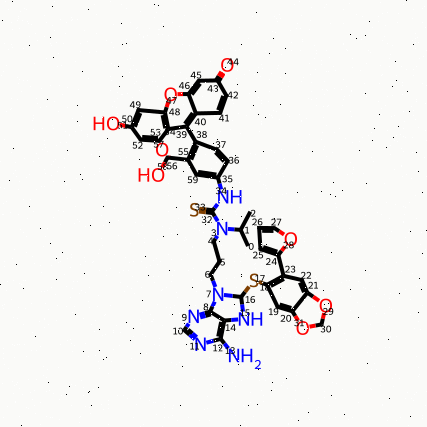 CC(C)N(CCCN1c2ncnc(N)c2NC1Sc1cc2c(cc1-c1ccco1)OCO2)C(=S)Nc1ccc(-c2c3ccc(=O)cc-3oc3cc(O)ccc23)c(C(=O)O)c1